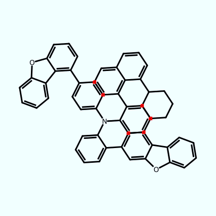 c1ccc(N(c2ccc(-c3cccc4oc5ccccc5c34)cc2)c2ccccc2-c2cccc3cccc(C4CCCCC4)c23)c(-c2ccc3c(c2)oc2ccccc23)c1